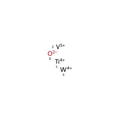 [O-2].[Ti+4].[V+5].[W+4]